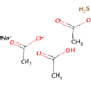 CC(=O)O.CC(=O)O.CC(=O)[O-].S.[Na+]